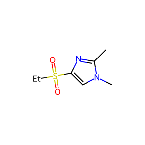 CCS(=O)(=O)c1cn(C)c(C)n1